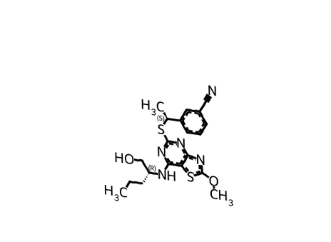 CCC[C@H](CO)Nc1nc(S[C@@H](C)c2cccc(C#N)c2)nc2nc(OC)sc12